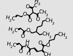 C=CC(=O)NC(=O)C=CC(=C)C(=O)OCCCC.C=CC(=O)OCC(CC)CCCC.C=CCOC(=O)C(C(C)=O)C(C)=O